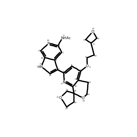 CC(=O)Nc1cc2c(-c3cc(OCCC4COC4)c4c(n3)C3(CCOC3)OCC4)c[nH]c2cn1